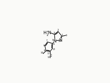 Cc1cc(N)n(-c2ccc(C)c(F)c2)n1